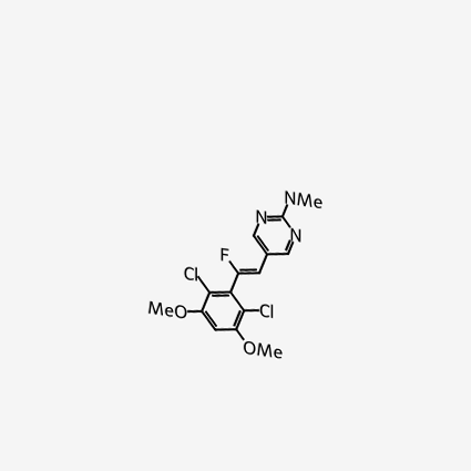 CNc1ncc(/C=C(\F)c2c(Cl)c(OC)cc(OC)c2Cl)cn1